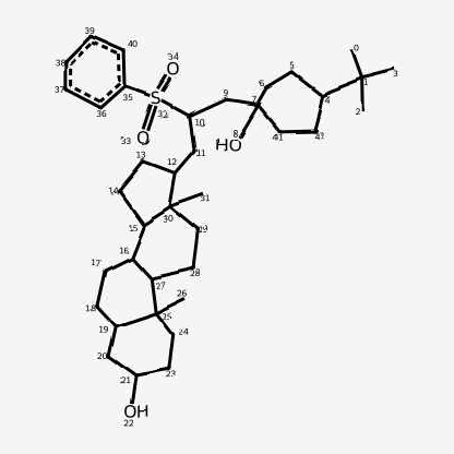 CC(C)(C)C1CCC(O)(CC(CC2CCC3C4CCC5CC(O)CCC5(C)C4CCC23C)S(=O)(=O)c2ccccc2)CC1